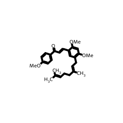 COc1ccc(C(=O)C=Cc2cc(C/C=C(\C)CCC=C(C)C)c(OC)cc2OC)cc1